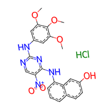 COc1cc(Nc2ncc([N+](=O)[O-])c(Nc3cccc4ccc(O)cc34)n2)cc(OC)c1OC.Cl